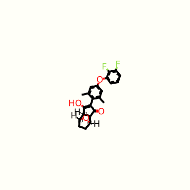 Cc1cc(Oc2cccc(F)c2F)cc(C)c1C1=C(O)[C@H]2C(C1=O)[C@@H]1CC[C@H]2O1